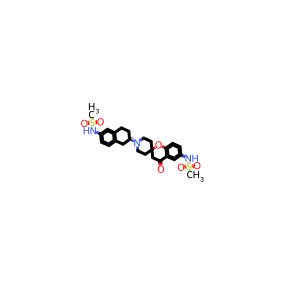 CS(=O)(=O)Nc1ccc2c(c1)CC[C@@H](N1CCC3(CC1)CC(=O)c1cc(NS(C)(=O)=O)ccc1O3)C2